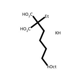 CCCCCCCCCCCCC(CC)(C(=O)O)C(=O)O.[KH]